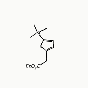 CCOC(=O)Cc1ccc([Si](C)(C)C)s1